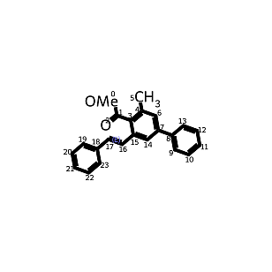 COC(=O)c1c(C)cc(-c2ccccc2)cc1/C=C/c1ccccc1